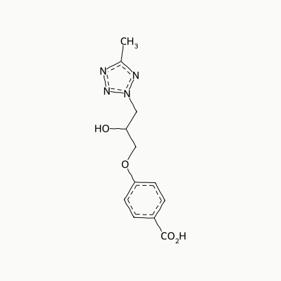 Cc1nnn(CC(O)COc2ccc(C(=O)O)cc2)n1